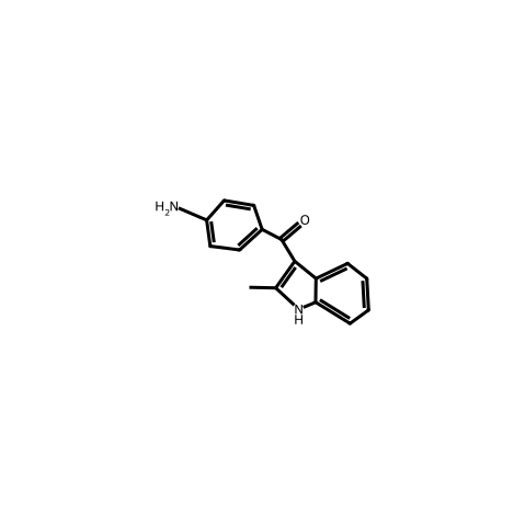 Cc1[nH]c2ccccc2c1C(=O)c1ccc(N)cc1